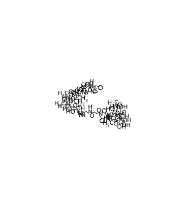 CCC(C)C(C(CC(=O)N1CCCC1C(OC)C(C)C(=O)NC(Cc1ccccc1)c1nccs1)OC)N(C)C(=O)C(NC(=O)C(C(C)C)N(C)CC(O)C(O)C(O)C(O)Cn1cc(CCNC(=O)CCC(=O)N2Cc3ccccc3-c3nnn(CC(O)C(O)C4OC(OCC5OC(O[C@H](C)C(C)C)C(O)C(O)C5O)(C(=O)O)CC(O)C4NC(C)=O)c3-c3ccccc32)nn1)C(C)C